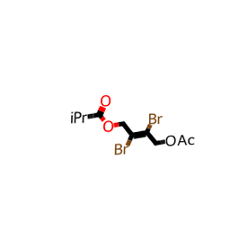 CC(=O)OC/C(Br)=C(\Br)COC(=O)C(C)C